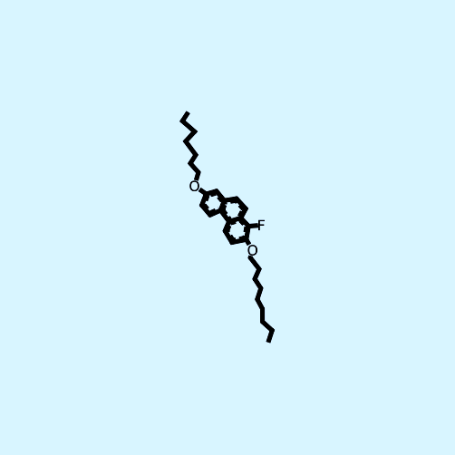 CCCCCCCCCOc1ccc2c(ccc3cc(OCCCCCCC)ccc32)c1F